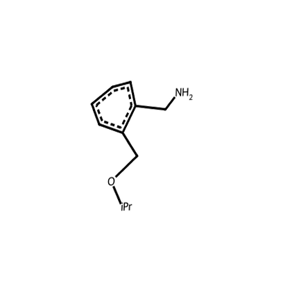 CC(C)OCc1ccccc1CN